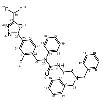 O=C(NCCN(Cc1ccccc1)Cc1ccccc1)N(Cc1ccc(-c2nnc(C(F)F)o2)cc1F)c1ccccc1